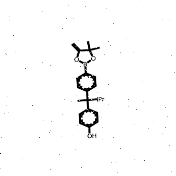 C=C1OB(c2ccc(C(C)(c3ccc(O)cc3)C(C)C)cc2)OC1(C)C